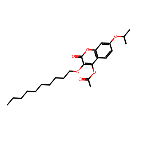 CCCCCCCCCCOc1c(OC(C)=O)c2ccc(OC(C)C)cc2oc1=O